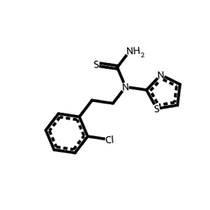 NC(=S)N(CCc1ccccc1Cl)c1nccs1